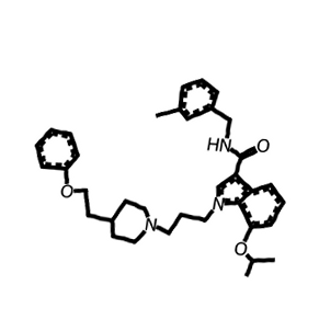 Cc1cccc(CNC(=O)c2cn(CCCN3CCC(CCOc4ccccc4)CC3)c3c(OC(C)C)cccc23)c1